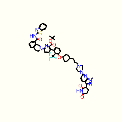 Cn1nc(C2CCC(=O)NC2=O)c2ccc(N3CCN(CCCC4CCC(Oc5cccc(-c6ccc(N7CCc8cccc(C(=O)Nc9nc%10ccccc%10s9)c8C7)nc6C(=O)OC(C)(C)C)c5C(F)(F)F)CC4)CC3)nc21